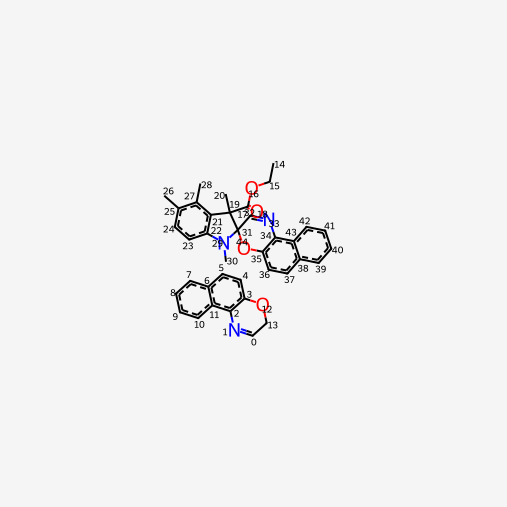 C1=Nc2c(ccc3ccccc23)OC1.CCOC(=O)C1(C)c2c(ccc(C)c2C)N(C)C12C=Nc1c(ccc3ccccc13)O2